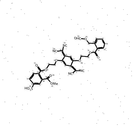 [C-]#[N+]/C(C#N)=c1/cc(OCCOC(=O)c2ccc(S(=O)(=O)O)cc2C(=O)OC)/c(=C(\C#N)[N+]#[C-])cc1OCCOC(=O)c1ccccc1COC=O